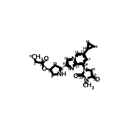 CCC(=O)O[C@@H]1CN[C@@H](c2cn3cc(C4CC4)cc(N4CC(=O)N(C)C4=O)c3n2)C1